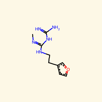 C/N=C(/NCCc1ccoc1)NC(=N)N